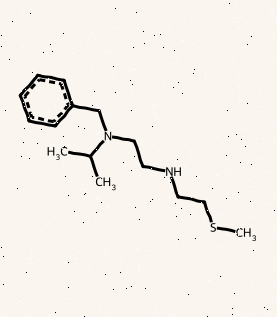 CSCCNCCN(Cc1ccccc1)C(C)C